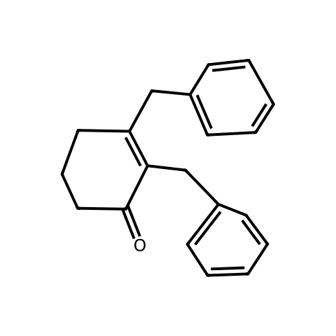 O=C1CCCC(Cc2ccccc2)=C1Cc1ccccc1